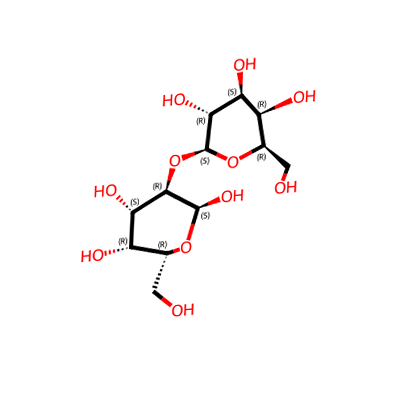 OC[C@H]1O[C@@H](O[C@@H]2[C@@H](O)[C@@H](O)[C@@H](CO)O[C@@H]2O)[C@H](O)[C@@H](O)[C@H]1O